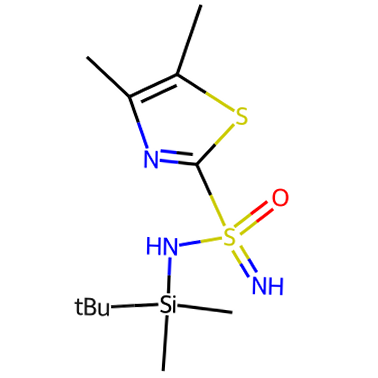 Cc1nc(S(=N)(=O)N[Si](C)(C)C(C)(C)C)sc1C